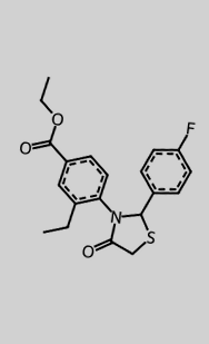 CCOC(=O)c1ccc(N2C(=O)CSC2c2ccc(F)cc2)c(CC)c1